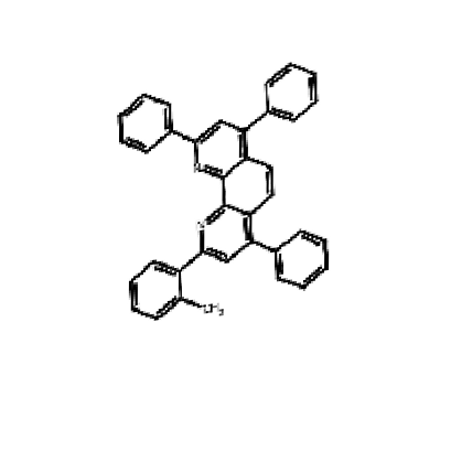 Cc1ccccc1-c1cc(-c2ccccc2)c2ccc3c(-c4ccccc4)cc(-c4ccccc4)nc3c2n1